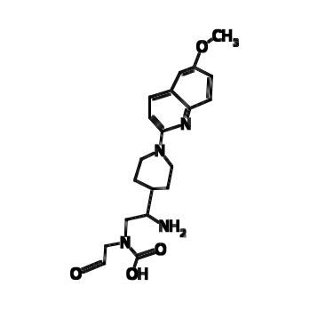 COc1ccc2nc(N3CCC(C(N)CN(CC=O)C(=O)O)CC3)ccc2c1